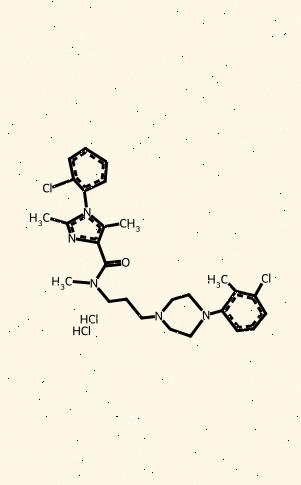 Cc1c(Cl)cccc1N1CCN(CCCN(C)C(=O)c2nc(C)n(-c3ccccc3Cl)c2C)CC1.Cl.Cl